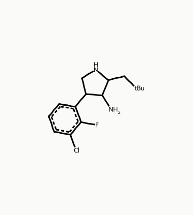 CC(C)(C)CC1NCC(c2cccc(Cl)c2F)C1N